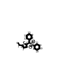 CCc1ccc(C(c2ccccc2)S(=O)(=O)c2ccccc2)s1